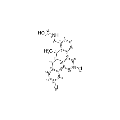 CC(c1ccccc1CNC(=O)O)C(Cc1ccc(Cl)cc1)c1ccc(Cl)cc1